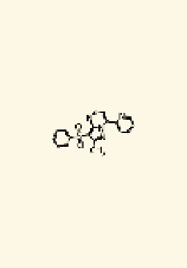 Cc1nn2c(-c3ccccn3)ccnc2c1S(=O)(=O)c1ccccc1